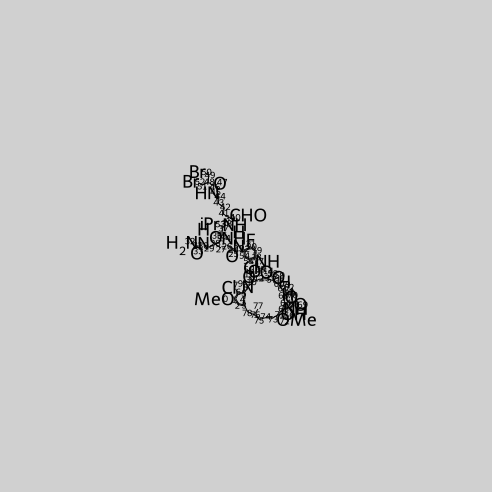 COc1cc2cc(c1Cl)N(C)C(=O)C[C@H](OC(=O)Nc1cc(F)c(NC(=O)[C@H](CCCNC(N)=O)NC(=O)[C@@H](NC(C=O)CCCCNC(=O)C(CBr)CBr)C(C)C)cc1Cl)[C@]1(C)O[C@H]1[C@H](C)[C@@H]1C[C@@](O)(NC(=O)O1)[C@H](OC)/C=C/C=C(\C)C2